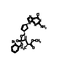 COC(=O)[C@H](C)NP(=O)(OC[C@@H]1C=C[C@H](n2cnc3c(Cl)nc(N)nc32)C1)Oc1ccccc1Br